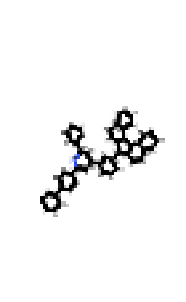 c1ccc(-c2ccc(-c3cc(-c4cccc(C5c6ccc7ccccc7c6-c6c5ccc5ccccc65)c4)cc(-c4ccccc4)n3)cc2)cc1